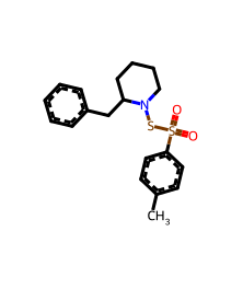 Cc1ccc(S(=O)(=O)SN2CCCCC2Cc2ccccc2)cc1